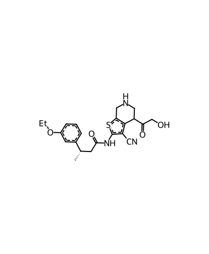 CCOc1cccc([C@@H](C)CC(=O)Nc2sc3c(c2C#N)C(C(=O)CO)CNC3)c1